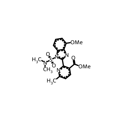 COC(=O)c1ccc(C)nc1-c1nc2c(OC)cccc2n1S(=O)(=O)N(C)C